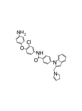 Nc1ccc(Oc2ccc(NC(=O)c3ccc(-n4c(CN5C=CCC5)cc5ccccc54)cc3)cc2Cl)cc1